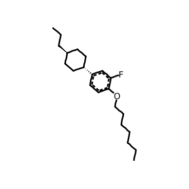 CCCCCCCOc1ccc([C@H]2CC[C@H](CCC)CC2)cc1F